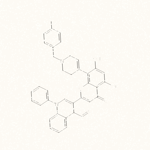 O=CC1C(c2cc(=O)c3c(O)cc(O)c(C4=CCN(Cc5ccc(F)cc5)CC4)c3o2)=CN(c2ccccc2)c2ccccc21